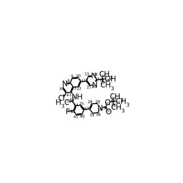 C[C@@H](Nc1c(Cl)cnc2ccc(-c3cnc(C(C)(C)O)nc3)cc12)c1cc(C2=CCN(C(=O)OC(C)(C)C)CC2)ccc1F